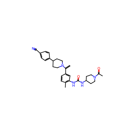 C=C(c1ccc(C)c(NC(=O)NC2CCN(C(C)=O)CC2)c1)N1CCC(c2ccc(C#N)cc2)CC1